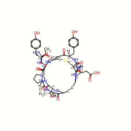 CC(=O)[C@H](Cc1ccc(O)cc1)NC1CCC2C(=O)[C@H](Cc3ccc(O)cc3)NC(=O)[C@H](CCC(=O)O)NC3CCC(N[C@@H]([C@@H](C)O)C(=O)NCC1=O)C(=O)[C@H](C)NC(=O)[C@@H]1CCCN1C(=O)[C@H](CC(N)=O)NC2CSC[C@@H]1NCN3C1=O